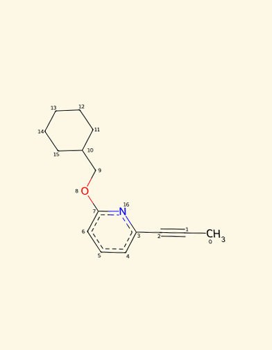 CC#Cc1cccc(OCC2CCCCC2)n1